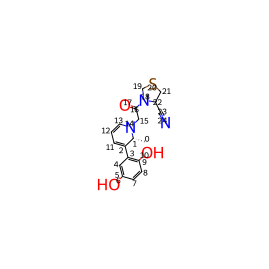 C[C@@H]1C(c2cc(O)ccc2O)=CC=CN1CC(=O)N1CSCC1C#N